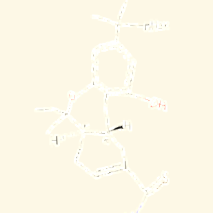 CCCCCCC(C)(C)c1cc(O)c2c(c1)OC(C)(C)[C@@H]1CC=C(C(N)=S)C[C@@H]21